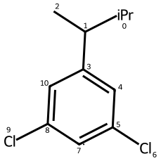 CC(C)C(C)c1cc(Cl)[c]c(Cl)c1